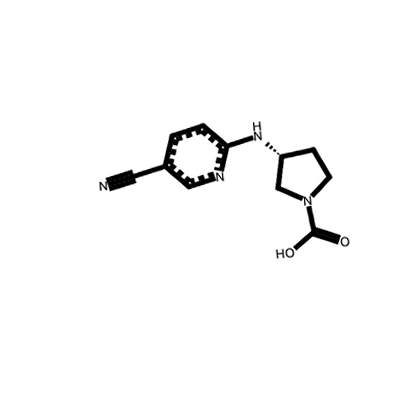 N#Cc1ccc(N[C@@H]2CCN(C(=O)O)C2)nc1